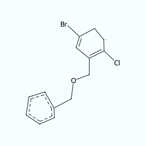 ClC1=C(COCc2ccccc2)C=C(Br)C[CH]1